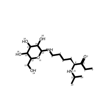 CCC(=O)[C@H](CCCCNC1OC(CO)C(O)C(O)C1O)NC(C)C